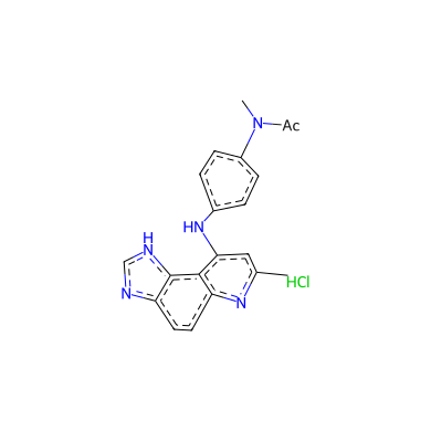 CC(=O)N(C)c1ccc(Nc2cc(C)nc3ccc4nc[nH]c4c23)cc1.Cl